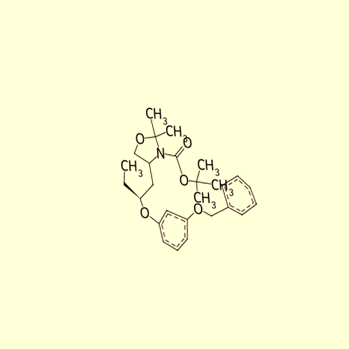 CC[C@@H](CC1COC(C)(C)N1C(=O)OC(C)(C)C)Oc1cccc(OCc2ccccc2)c1